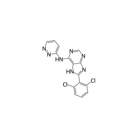 Clc1cccc(Cl)c1-c1nc2ncnc(Nc3cccnn3)c2[nH]1